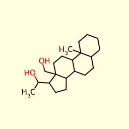 CC(O)C1CCC2C3CCC4CCCCC4(C)C3CCC12CO